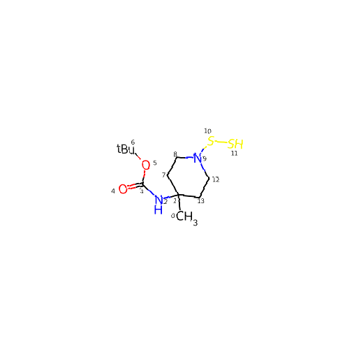 CC1(NC(=O)OC(C)(C)C)CCN(SS)CC1